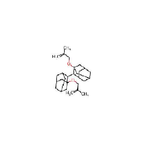 C=C(C)COC12CC3CC(CC(C3)C1C1C3CC4CC(C3)CC1(OCC(=C)C)C4)C2